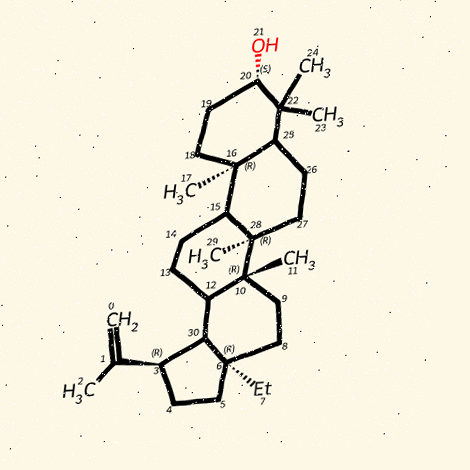 C=C(C)[C@@H]1CC[C@]2(CC)CC[C@]3(C)C(CCC4[C@@]5(C)CC[C@H](O)C(C)(C)C5CC[C@]43C)C12